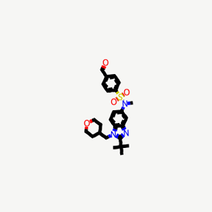 CN(c1ccc2c(c1)nc(C(C)(C)C)n2CC1CCOCC1)S(=O)(=O)c1ccc(C=O)cc1